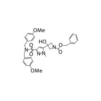 COc1ccc(CN(Cc2ccc(OC)cc2)S(=O)(=O)c2cc(C3(O)CN(C(=O)OCc4ccccc4)C3)n(C)n2)cc1